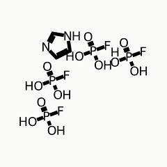 O=P(O)(O)F.O=P(O)(O)F.O=P(O)(O)F.O=P(O)(O)F.c1c[nH]cn1